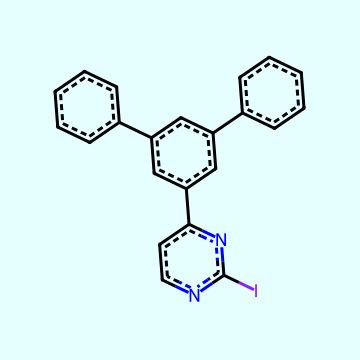 Ic1nccc(-c2cc(-c3ccccc3)cc(-c3ccccc3)c2)n1